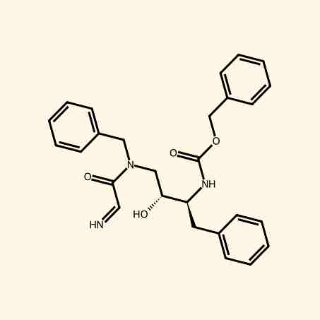 N=CC(=O)N(Cc1ccccc1)C[C@@H](O)[C@H](Cc1ccccc1)NC(=O)OCc1ccccc1